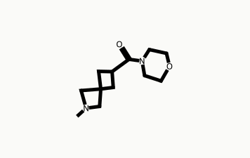 CN1CC2(CC(C(=O)N3CCOCC3)C2)C1